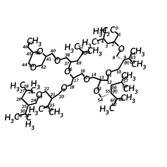 CCC(CC(C)C)OC[C@@H](COCC(COCC(COCC(COCC(CC(C)C)C(C)C)C(C)C)OC(COCC1COCC(CC)O1)CC(C)C)OC[C@H](CC(C)C)C(C)C)C(C)C